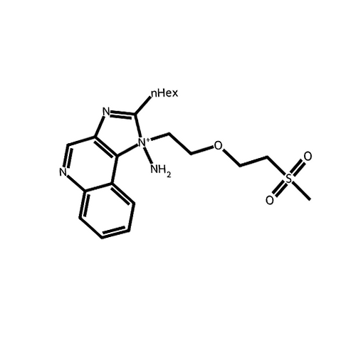 CCCCCCC1=Nc2cnc3ccccc3c2[N+]1(N)CCOCCS(C)(=O)=O